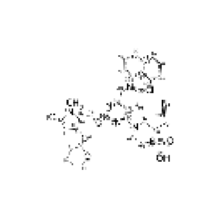 CN1C(=O)C[C@@H](OC2CCCCO2)[C@H]1COc1nc2c(c(N3CCN(C(=O)O)C(CC#N)C3)n1)CCN(c1cccc3cccc(Cl)c13)C2